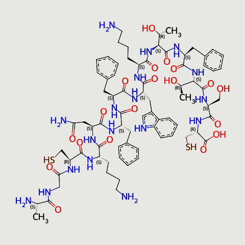 C[C@H](N)C(=O)NCC(=O)N[C@@H](CS)C(=O)N[C@@H](CCCCN)C(=O)N[C@@H](CC(N)=O)C(=O)N[C@@H](Cc1ccccc1)C(=O)N[C@@H](Cc1ccccc1)C(=O)N[C@@H](Cc1c[nH]c2ccccc12)C(=O)N[C@@H](CCCCN)C(=O)N[C@H](C(=O)N[C@@H](Cc1ccccc1)C(=O)N[C@H](C(=O)N[C@@H](CO)C(=O)N[C@@H](CS)C(=O)O)[C@@H](C)O)[C@@H](C)O